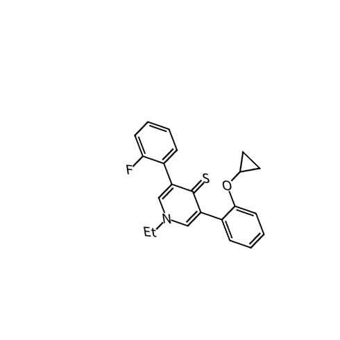 CCn1cc(-c2ccccc2F)c(=S)c(-c2ccccc2OC2CC2)c1